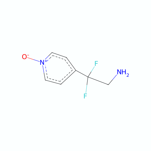 NCC(F)(F)c1cc[n+]([O-])cc1